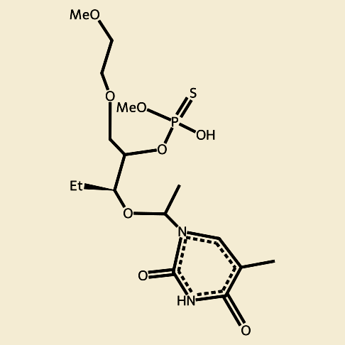 CC[C@H](OC(C)n1cc(C)c(=O)[nH]c1=O)C(COCCOC)OP(O)(=S)OC